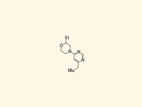 CCC1CN(c2cc(CC(C)(C)C)ncn2)CCO1